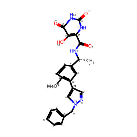 COc1ccc([C@@H](C)NC(=O)c2[nH]c(=O)[nH]c(=O)c2O)cc1-c1cnn(Cc2ccccc2)c1